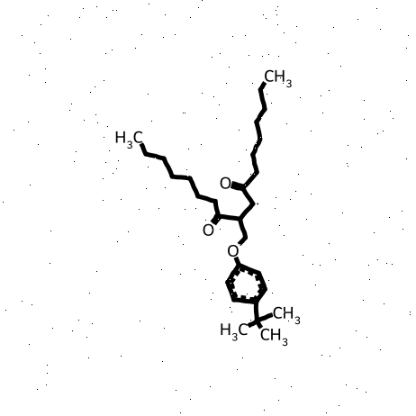 CCCCCCCC(=O)[CH]C(COc1ccc(C(C)(C)C)cc1)C(=O)CCCCCCC